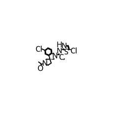 C=C=C(Nc1ncc(Cl)s1)N1C[C@]2(CCN(C(C)=O)C2)c2cc(Cl)ccc21